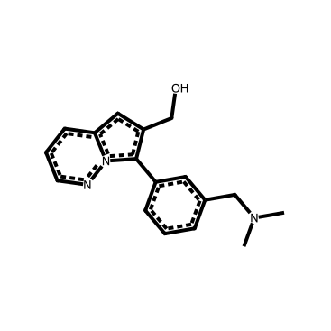 CN(C)Cc1cccc(-c2c(CO)cc3cccnn23)c1